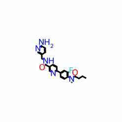 CCCC(=O)N(C)c1ccc(-c2ccc(C(=O)NCc3ccc(N)nc3)cn2)cc1F